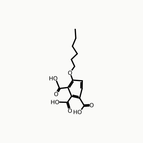 CCCCCCOc1ccc(C(=O)O)c(C(=O)O)c1C(=O)O